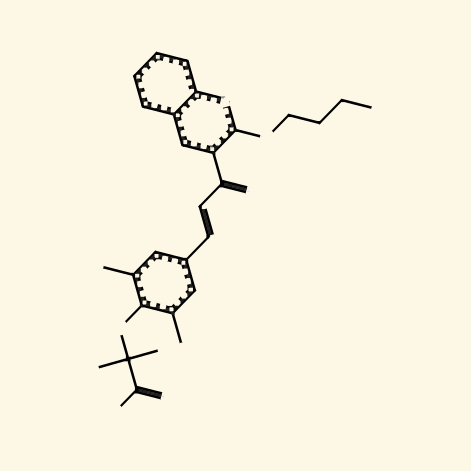 CCCCOc1nc2ccccc2cc1C(=O)/C=C/c1cc(C)c(OC(C)(C)C(=O)O)c(C)c1